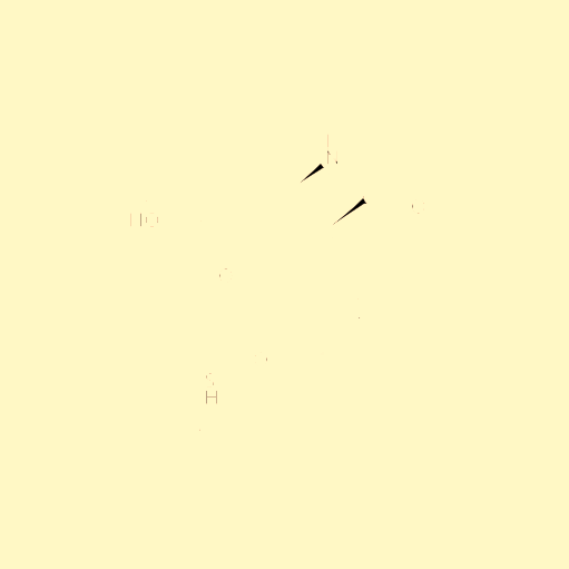 C[C@@H](C(=O)O)[C@H]1NC(=O)[C@H]1[C@@H](CO[SiH](C)C)C(C)(C)C